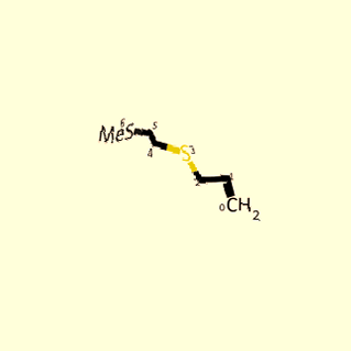 C=CCSCCSC